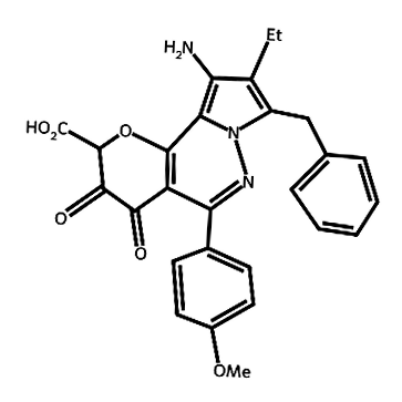 CCc1c(N)c2c3c(c(-c4ccc(OC)cc4)nn2c1Cc1ccccc1)C(=O)C(=O)C(C(=O)O)O3